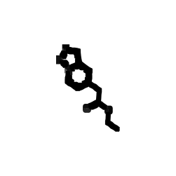 CCOC(=O)Cc1ccn2nncc2c1